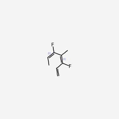 C=C/C(F)=C(C)\C(F)=C/C